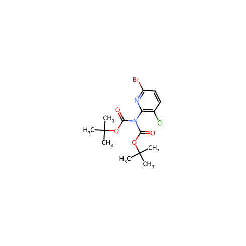 CC(C)(C)OC(=O)N(C(=O)OC(C)(C)C)c1nc(Br)ccc1Cl